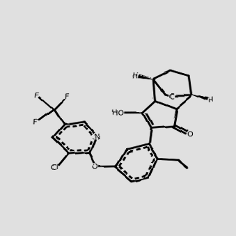 CCc1ccc(Oc2ncc(C(F)(F)F)cc2Cl)cc1C1=C(O)C2C(C1=O)[C@H]1CC[C@@H]2CC1